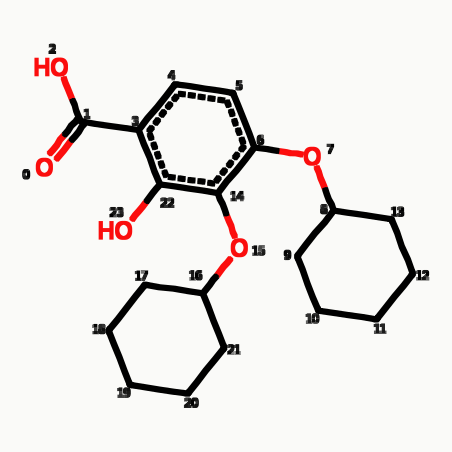 O=C(O)c1ccc(OC2CCCCC2)c(OC2CCCCC2)c1O